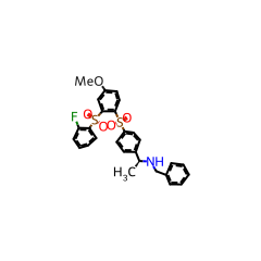 COc1ccc(S(=O)(=O)c2ccc([C@H](C)NCc3ccccc3)cc2)c(S(=O)(=O)c2ccccc2F)c1